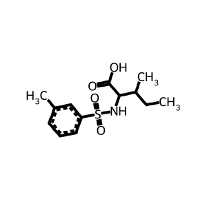 CCC(C)C(NS(=O)(=O)c1cccc(C)c1)C(=O)O